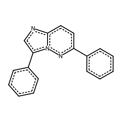 c1ccc(-c2ccc3ncc(-c4ccccc4)n3n2)cc1